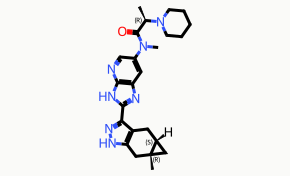 C[C@H](C(=O)N(C)c1cnc2[nH]c(-c3n[nH]c4c3C[C@@H]3C[C@]3(C)C4)nc2c1)N1CCCCC1